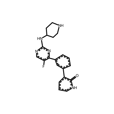 O=c1[nH]cccc1-c1cccc(-c2nc(NC3CCNCC3)ncc2F)c1